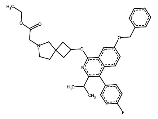 CCOC(=O)CN1CCC2(CC(Oc3nc(C(C)C)c(-c4ccc(F)cc4)c4ccc(OCc5ccccc5)cc34)C2)C1